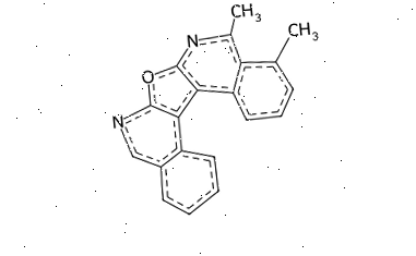 Cc1cccc2c1c(C)nc1oc3ncc4ccccc4c3c12